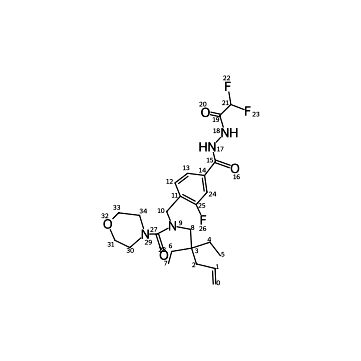 C=CCC(CC)(CC)CN(Cc1ccc(C(=O)NNC(=O)C(F)F)cc1F)C(=O)N1CCOCC1